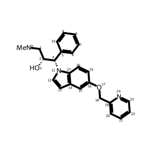 CNC[C@@H](O)[C@H](c1ccccc1)n1ccc2cc(OCc3ccccn3)ccc21